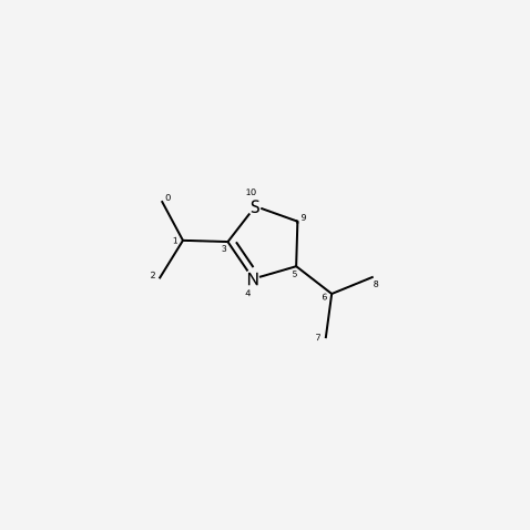 CC(C)C1=NC(C(C)C)CS1